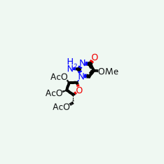 COc1cn([C@@H]2O[C@H](COC(C)=O)[C@@H](OC(C)=O)[C@H]2OC(C)=O)c(N)nc1=O